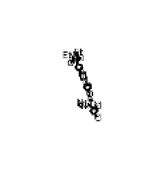 CCn1c(=O)n(-c2ccc(N3CCN(c4ccc(OC[C@@H]5CO[C@@](Cn6ccnc6)(c6ccc(Cl)cc6Cl)O5)cc4)CC3)cc2)c(=O)n1CC